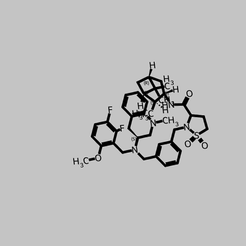 COc1ccc(F)c(F)c1CN(Cc1cccc(CN2C(C(=O)N[C@H]3C[C@H]4C[C@@H]([C@@H]3C)C4(C)C)CCS2(=O)=O)c1)[C@@H](Cc1ccccc1)CN(C)C